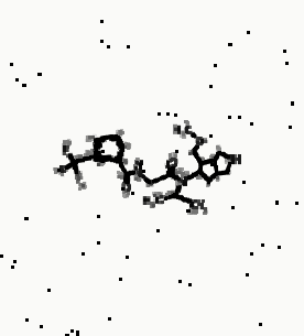 COCC1C2CNCC2CC1N(C(=O)CNC(=O)c1cccc(C(F)(F)F)c1)C(C)C